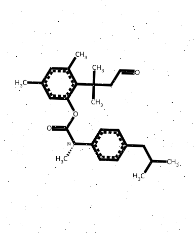 Cc1cc(C)c(C(C)(C)CC=O)c(OC(=O)[C@@H](C)c2ccc(CC(C)C)cc2)c1